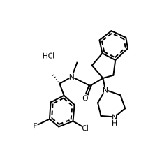 C[C@@H](c1cc(F)cc(Cl)c1)N(C)C(=O)C1(N2CCNCC2)Cc2ccccc2C1.Cl